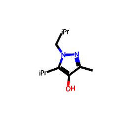 Cc1nn(CC(C)C)c(C(C)C)c1O